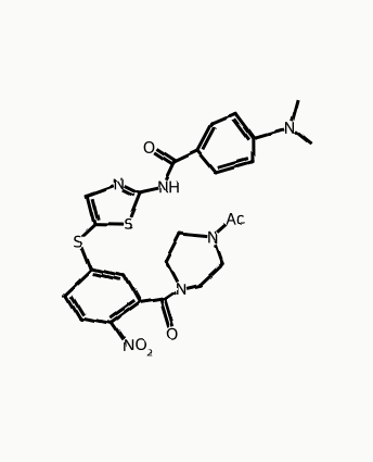 CC(=O)N1CCN(C(=O)c2cc(Sc3cnc(NC(=O)c4ccc(N(C)C)cc4)s3)ccc2[N+](=O)[O-])CC1